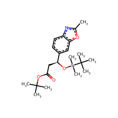 Cc1nc2ccc([C@H](CC(=O)OC(C)(C)C)O[Si](C)(C)C(C)(C)C)cc2o1